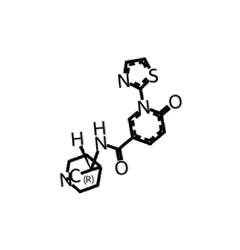 O=C(N[C@H]1CN2CCC1CC2)c1ccc(=O)n(-c2nccs2)c1